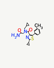 Cc1cccc(-c2sc(C3CC3)nc2C(=O)N(CC(N)=O)CC2CC2)c1